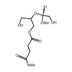 CC[C@@](CO)(OC)OC(CO)COC(=O)CCC(=O)NC